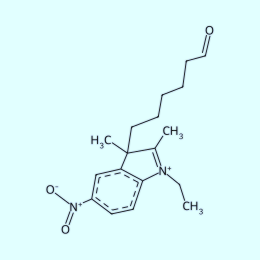 CC[N+]1=C(C)C(C)(CCCCCC=O)c2cc([N+](=O)[O-])ccc21